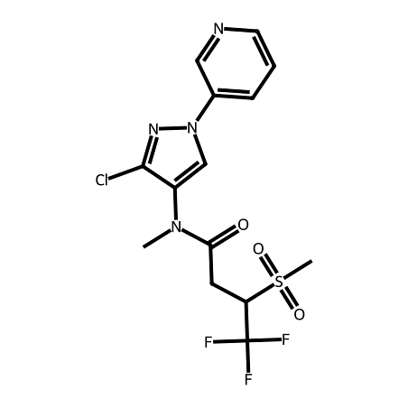 CN(C(=O)CC(C(F)(F)F)S(C)(=O)=O)c1cn(-c2cccnc2)nc1Cl